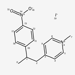 CC(Cc1cc[n+](C)cc1)c1ccc([N+](=O)[O-])cc1.[I-]